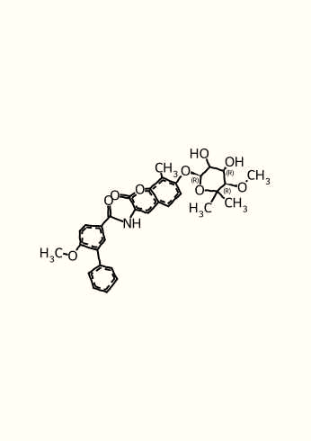 COc1ccc(C(=O)Nc2cc3ccc(O[C@@H]4OC(C)(C)[C@H](OC)[C@H](O)C4O)c(C)c3oc2=O)cc1-c1ccccc1